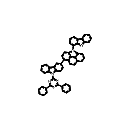 c1ccc(-c2nc(-c3ccccc3)nc(-n3c4ccccc4c4cc(-c5ccc6c7c5ccc5cccc(c57)n6-c5cccc6c5oc5ccccc56)ccc43)n2)cc1